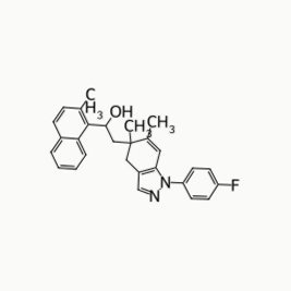 CC1=Cc2c(cnn2-c2ccc(F)cc2)CC1(C)CC(O)c1c(C)ccc2ccccc12